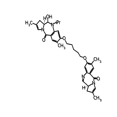 CC1=CN2C(=O)c3cc(C)c(OCCCCCOc4cc5c(cc4C)C(=O)N4C=C(C)C[C@H]4C(O)N5C(C)C)cc3N=C[C@@H]2C1